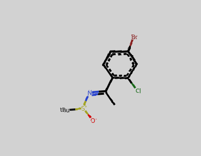 C/C(=N\[S+]([O-])C(C)(C)C)c1ccc(Br)cc1Cl